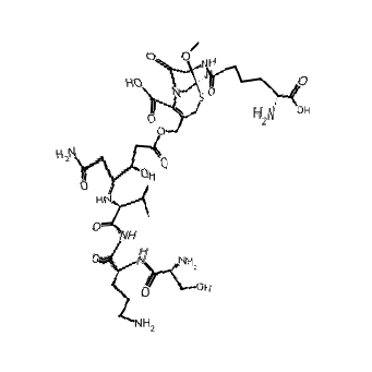 CO[C@@]1(NC(=O)CCC[C@@H](N)C(=O)O)C(=O)N2C(C(=O)O)=C(COC(=O)CC(O)C(CC(N)=O)N[C@H](C(=O)NC(=O)[C@H](CCCN)NC(=O)[C@@H](N)CO)C(C)C)CS[C@@H]21